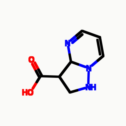 O=C(O)C1CNN2C=CC=NC12